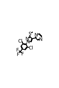 CSc1nn(-c2c(Cl)cc(C(F)(F)F)cc2Cl)cc1-c1cnccn1